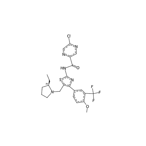 CC[C@@H]1CCCN1Cc1sc(NC(=O)c2cnc(Cl)cn2)nc1-c1ccc(OC)c(C(F)(F)F)c1